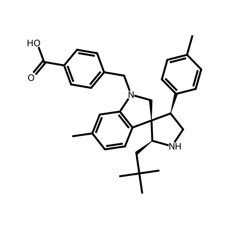 Cc1ccc([C@H]2CN[C@@H](CC(C)(C)C)[C@@]23CN(Cc2ccc(C(=O)O)cc2)c2cc(C)ccc23)cc1